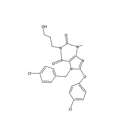 Cn1c(=O)n(CCCO)c(=O)c2c1nc(Oc1ccc(Cl)cc1)n2Cc1ccc(Cl)cc1